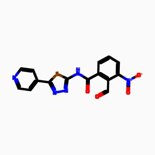 O=Cc1c(C(=O)Nc2nnc(-c3ccncc3)s2)cccc1[N+](=O)[O-]